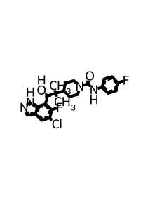 CC(C)(C1CCN(C(=O)Nc2ccc(F)cc2)CC1)[C@H](O)c1c(F)c(Cl)cc2cn[nH]c12